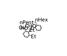 CCCCCCC(CCCCC)c1ccccc1C(=O)O.CCc1cccc(C(=O)C=O)c1CC